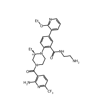 CCOc1ncccc1-c1ccc(N2CCN(C(=O)c3ccc(C(F)(F)F)nc3N)C[C@H]2CC)c(C(=O)NCCN)c1